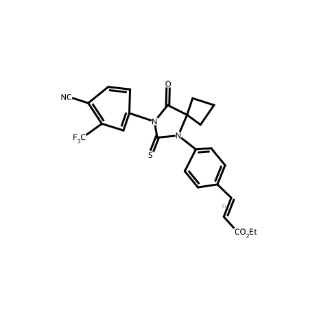 CCOC(=O)/C=C/c1ccc(N2C(=S)N(c3ccc(C#N)c(C(F)(F)F)c3)C(=O)C23CCC3)cc1